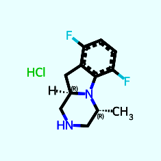 C[C@@H]1CNC[C@H]2Cc3c(F)ccc(F)c3N21.Cl